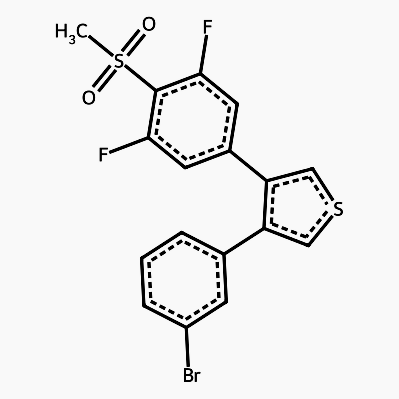 CS(=O)(=O)c1c(F)cc(-c2cscc2-c2cccc(Br)c2)cc1F